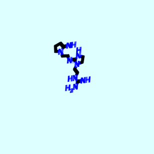 N=C(N)NCCN1CCN/C1=N\CCN1CCCC1=N